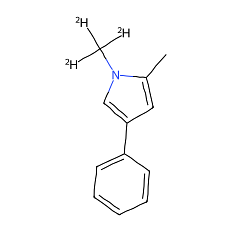 [2H]C([2H])([2H])n1cc(-c2ccccc2)cc1C